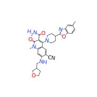 Cc1ccc2oc(C3CCN(c4c(C(N)=O)c(=O)n(C)c5cc(NCC6CCOC6)c(C#N)cc45)CC3)nc2c1